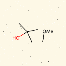 CC(C)(C)O.COC